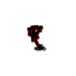 CC(C)(C)OC(=O)NCCOCCOCCNC(=O)C1=CC=CC(C(=O)NCCN2CCNC(=O)C3=C(OCc4ccccc4)C(CC=C3)C(=O)NCCN3CCNC(=O)C4=CC=CC(C(=O)NCCN(CCNC(=O)C5=C(OCc6ccccc6)C(CC=C5)C(=O)NCC3)CC2)C4OCc2ccccc2)C1OCc1ccccc1